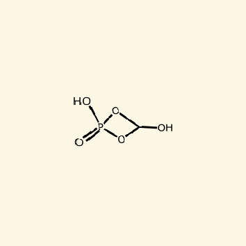 O=P1(O)OC(O)O1